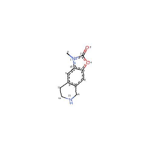 Cn1c(=O)oc2cc3c(cc21)CCNC3